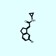 O=C(/C=C1\CCc2ccc(Br)cc21)NC1CC1